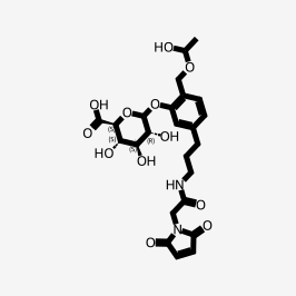 CC(O)OCc1ccc(CCCNC(=O)CN2C(=O)C=CC2=O)cc1OC1O[C@H](C(=O)O)[C@@H](O)[C@H](O)[C@H]1O